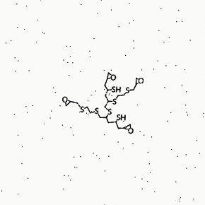 SC(CC1CO1)CC(CSCCSCC1CO1)SCC(CC(S)CC1CO1)SCCSCC1CO1